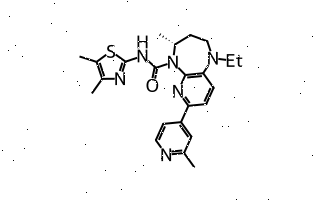 CCN1CC[C@@H](C)N(C(=O)Nc2nc(C)c(C)s2)c2nc(-c3ccnc(C)c3)ccc21